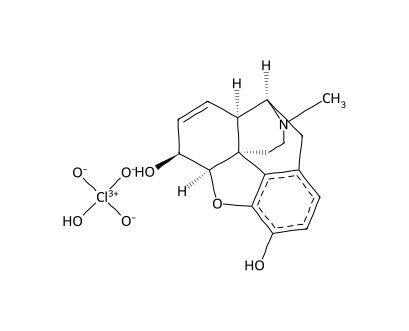 CN1CC[C@]23c4c5ccc(O)c4O[C@H]2[C@@H](O)C=C[C@H]3[C@H]1C5.[O-][Cl+3]([O-])([O-])O